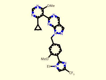 CCn1cc(C(F)(F)F)nc1-c1ccc(Cn2ncc3cnc(-c4c(OC)ncnc4C4CC4)nc32)cc1OC